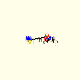 CC(C)(C)NS(=O)(=O)CCCCCCCCCCn1nnnc1S